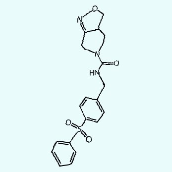 O=C(NCc1ccc(S(=O)(=O)c2ccccc2)cc1)N1CCC2=NOCC2C1